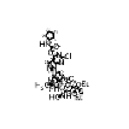 CCOP(=O)(OCC)[C@@](COC)(CC(=O)NO)OC[C@H]1O[C@@H](n2ncc3c(OC(=O)NC4CCCC4)nc(Cl)nc32)[C@@H]2OC(C)(C)O[C@@H]21